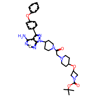 CC(C)(C)OC(=O)N1CC(OC2CCN(CC(=O)N3CCC(n4nc(-c5ccc(Oc6ccccc6)cc5)c5c(N)ncnc54)CC3)CC2)C1